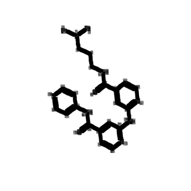 CCN(CC)CCCNC(=O)c1ccnc(Nc2cc(C(=O)Nc3ccncc3)ccn2)c1